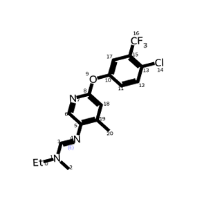 CCN(C)/C=N/c1cnc(Oc2ccc(Cl)c(C(F)(F)F)c2)cc1C